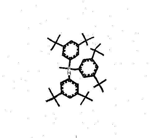 CC(C)(C)c1cc(C(C)(C)C)cc([PH](C)(c2cc(C(C)(C)C)cc(C(C)(C)C)c2)c2cc(C(C)(C)C)cc(C(C)(C)C)c2)c1